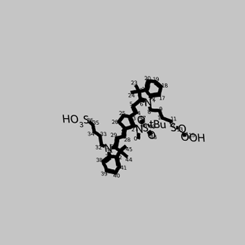 CN(C1=C(/C=C/C2=[N+](CCCCSOOO)c3ccccc3C2(C)C)CC/C1=C\C=C1\N(CCCCS(=O)(=O)O)c2ccccc2C1(C)C)S(=O)(=O)C(C)(C)C